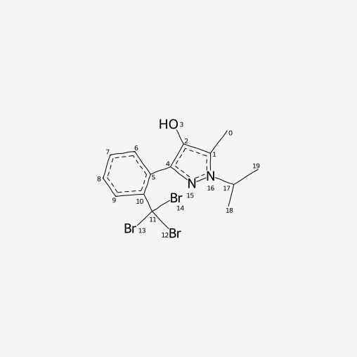 Cc1c(O)c(-c2ccccc2C(Br)(Br)Br)nn1C(C)C